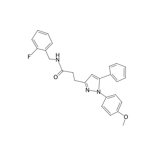 COc1ccc(-n2nc(CCC(=O)NCc3ccccc3F)cc2-c2ccccc2)cc1